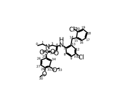 CCN(CC(=O)Nc1ccc(Cl)cc1Cc1ccccc1Cl)S(=O)(=O)c1ccc(OC)c(OC)c1